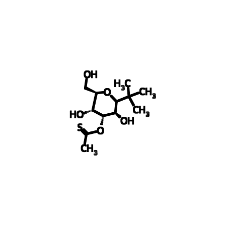 CC(=S)O[C@@H]1[C@H](O)[C@@H](CO)OC(C(C)(C)C)[C@H]1O